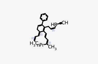 C#CB/C=C\CC1=C(C=C/C=C(/C)CCC)/C(=C/C=C\C)CC=C1c1ccccc1